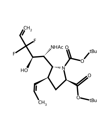 C=CC(F)(F)[C@H](O)[C@H](NC(C)=O)[C@H]1[C@H](/C=C\C)C[C@H](C(=O)OC(C)(C)C)N1C(=O)OC(C)(C)C